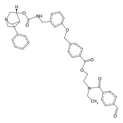 CCN(CCOC(=O)c1ccc(COc2cccc(CNC(=O)O[C@H]3CN4CCC3C(c3ccccc3)C4)c2)cc1)C(=O)c1ccc(C=O)cc1